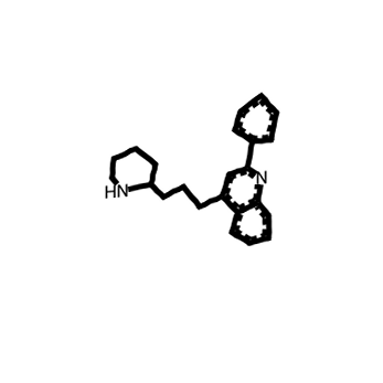 c1ccc(-c2cc(CCCC3CCCCN3)c3ccccc3n2)cc1